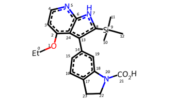 CCOc1ccnc2[nH]c([Si](C)(C)C)c(-c3ccc4c(c3)N(C(=O)O)CC4)c12